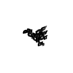 CCCCN1[C@H]2CCn3c(nc4cc(C(=O)O)ccc43)[C@H]2[C@H](c2cccc(Cl)c2F)[C@]12C(=O)Nc1cc(Cl)ccc12